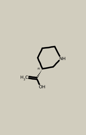 C=C(O)[C@@H]1CCCNC1